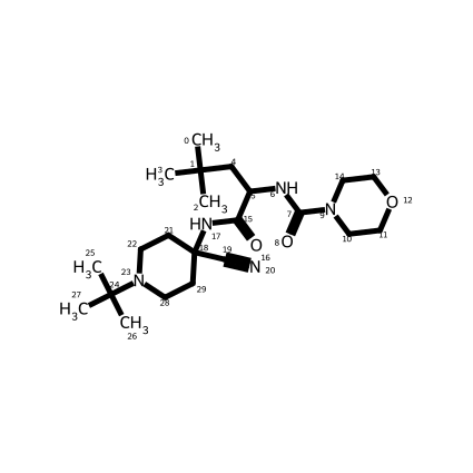 CC(C)(C)CC(NC(=O)N1CCOCC1)C(=O)NC1(C#N)CCN(C(C)(C)C)CC1